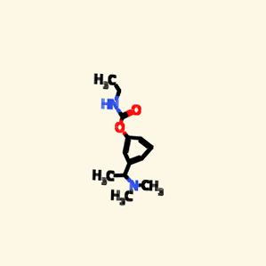 CCNC(=O)Oc1cccc(C(C)N(C)C)c1